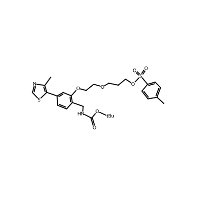 Cc1ccc(S(=O)(=O)OCCCOCCOc2cc(-c3scnc3C)ccc2CNC(=O)OC(C)(C)C)cc1